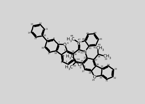 Cc1ccc2c(oc3cc(-c4ccccc4)ccc32)c1-c1n(-c2c(C(C)C)cc3oc4ccccc4c3c2C(C)C)c2ccccc2[n+]1C